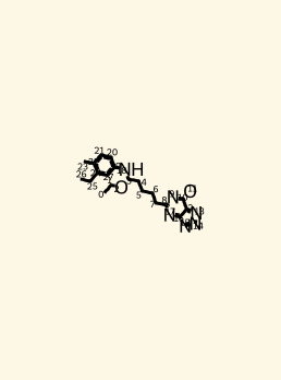 CCOC(CCCCC1=NC(=O)C2=NN=NC2=N1)Nc1ccc(C)c(CC)c1